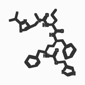 CCC[C@H](NC(=O)N(C)Cc1csc(C(C)C)n1)C(=O)N[C@H](CC[C@H](Cc1ccccc1)NC(=O)OCc1cncs1)Cc1ccccc1